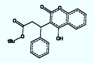 CC(C)(C)OC(=O)CC(c1ccccc1)c1c(O)c2ccccc2oc1=O